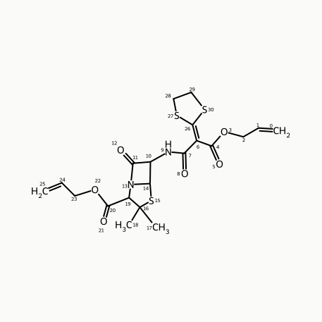 C=CCOC(=O)C(C(=O)NC1C(=O)N2C1SC(C)(C)C2C(=O)OCC=C)=C1SCCS1